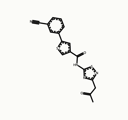 CC(=O)Cc1nsc(NC(=O)c2csc(-c3cccc(C#N)c3)c2)n1